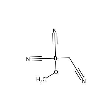 CO[B-](C#N)(C#N)CC#N